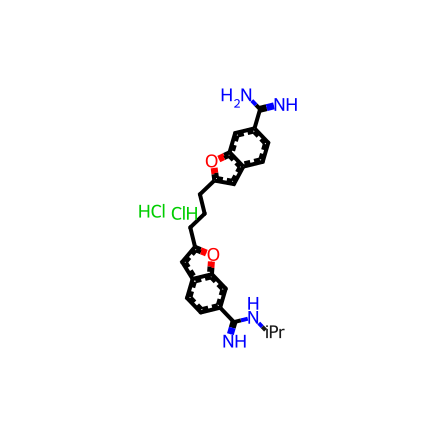 CC(C)NC(=N)c1ccc2cc(CCCc3cc4ccc(C(=N)N)cc4o3)oc2c1.Cl.Cl